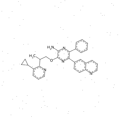 CC(COc1nc(-c2ccc3ncccc3c2)c(-c2ccccc2)nc1N)c1ncccc1C1CC1